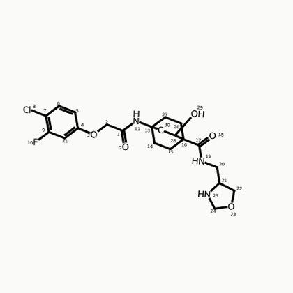 O=C(COc1ccc(Cl)c(F)c1)NC12CCC(C(=O)NCC3COCN3)(CC1)C(O)C2